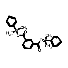 C[Si](C)(OC(=O)c1cccc(C(=O)O[Si](C)(C)c2ccccc2)c1)c1ccccc1